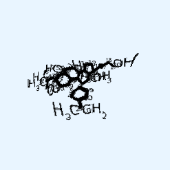 C=C(C)c1ccc([C@H]2C[C@@]3(C)[C@@H](CC[C@@]3(O)C#CCCO)[C@@H]3CC[C@@]4(O)CC5(CCC4=C32)CC(C)(C)COO5)cc1